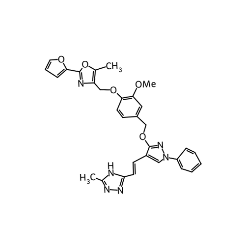 COc1cc(COc2nn(-c3ccccc3)cc2/C=C/c2nnc(C)[nH]2)ccc1OCc1nc(-c2ccco2)oc1C